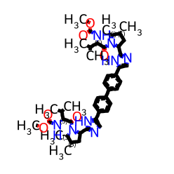 COC(=O)N[C@H](C(=O)N1C(c2ncc(-c3ccc(-c4ccc(-c5cnc(C6C[C@H](C)[C@H](C)N6C(=O)[C@@H](NC(=O)OC)C(C)C)[nH]5)cc4)cc3)[nH]2)C[C@H](C)[C@@H]1C)C(C)C